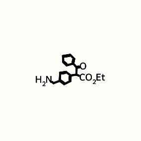 CCOC(=O)C(C(=O)c1ccccc1)c1ccc(CN)cc1